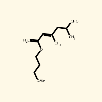 C=C(/C=C(\C)CC(C)C=O)OCCCOC